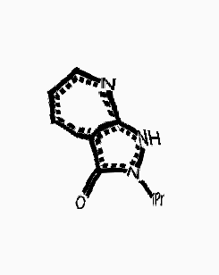 CC(C)n1[nH]c2ncccc2c1=O